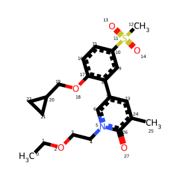 CCOCCn1cc(-c2cc(S(C)(=O)=O)ccc2OCC2CC2)cc(C)c1=O